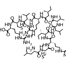 CC[C@H](C)[C@H](NC(=O)[C@H](CCCNC(=N)N)NC(=O)[C@H](CS)NC(=O)[C@@H](N)CC(C)C)C(=O)N[C@H](C(=O)N[C@H](C(=O)N[C@H](C(=O)N[C@@H](CCCNC(=N)N)C(=O)N[C@H](C(=O)N[C@@H](CS)C(=O)N[C@@H](CCCNC(=N)N)C(=O)O)C(C)C)[C@@H](C)CC)C(C)C)C(C)C